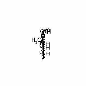 Cc1nc(NC(=O)NCCC(=O)NCC(F)F)sc1-c1ccc(C(=O)NC(C)C)cc1